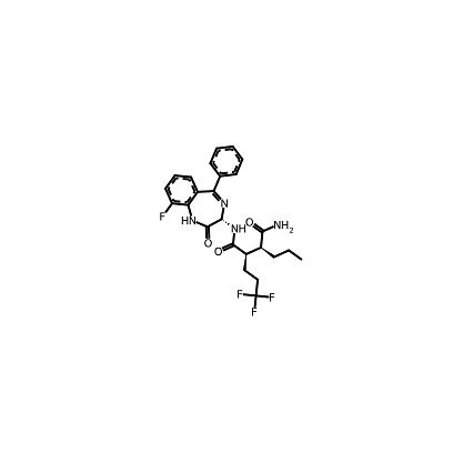 CCC[C@H](C(N)=O)[C@@H](CCC(F)(F)F)C(=O)N[C@H]1N=C(c2ccccc2)c2cccc(F)c2NC1=O